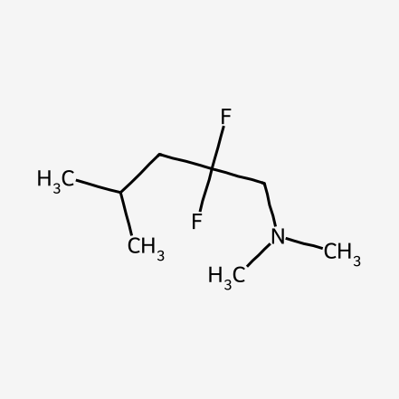 CC(C)CC(F)(F)CN(C)C